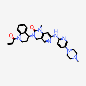 C=CC(=O)N1CCC(N2Cc3cnc(Nc4ccc(N5CCN(C)CC5)cn4)cc3N(C)C2=O)c2ccccc21